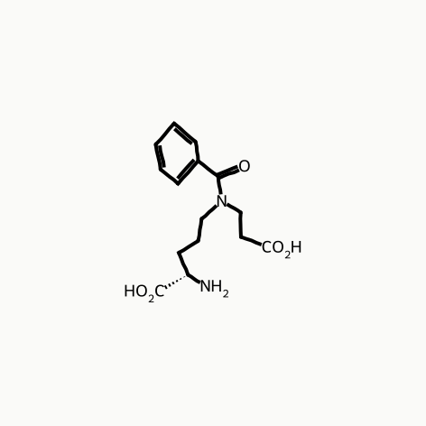 N[C@@H](CCCN(CCC(=O)O)C(=O)c1ccccc1)C(=O)O